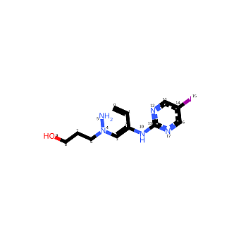 C=C/C(=C\N(N)CCCO)Nc1ncc(I)cn1